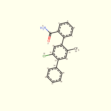 NC(=O)c1ccccc1-c1cc(Cl)c(-c2ccccc2)cc1C(F)(F)F